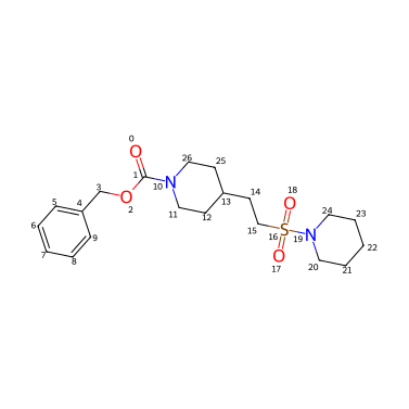 O=C(OCc1ccccc1)N1CCC(CCS(=O)(=O)N2CCCCC2)CC1